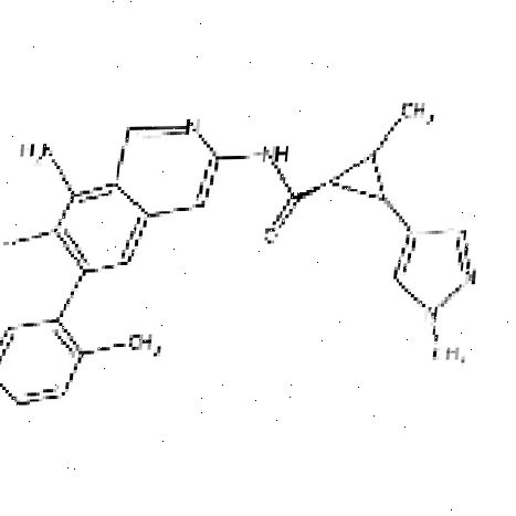 Cc1ccncc1-c1cc2cc(NC(=O)[C@H]3C(C)C3c3cnn(C)c3)ncc2c(N)c1F